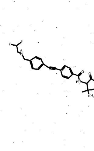 CC(C)(N)C(NC(=O)c1ccc(C#Cc2ccc(CNCC(F)F)cc2)cc1)C(N)=O